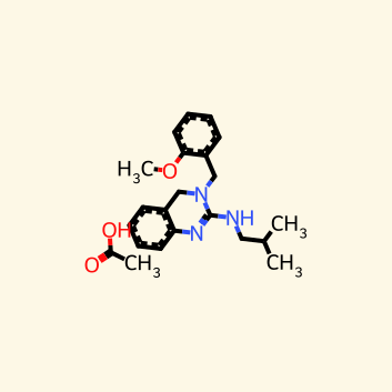 CC(=O)O.COc1ccccc1CN1Cc2ccccc2N=C1NCC(C)C